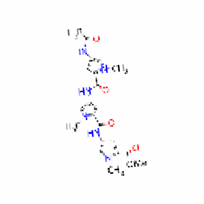 BC(=O)Nc1cc(C(=O)Nc2cc(C(=O)Nc3cc(C(=O)OC)n(C)c3)n(C)c2)n(C)c1